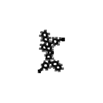 N#Cc1ccc(N(c2ccc3ccccc3c2)c2ccc3c(c2)oc2cc(N(c4ccc(C#N)cc4)c4ccc5ccccc5c4)c4ccccc4c23)cc1